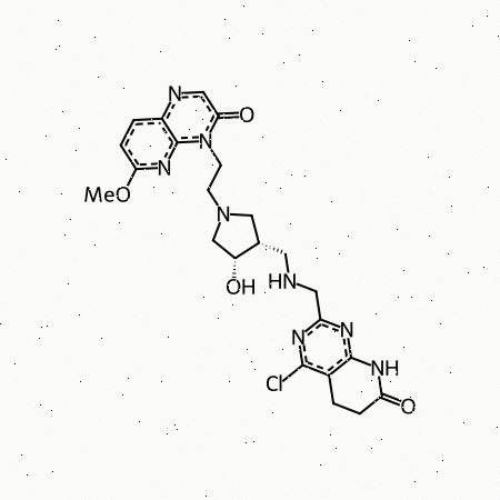 COc1ccc2ncc(=O)n(CCN3C[C@H](CNCc4nc(Cl)c5c(n4)NC(=O)CC5)[C@H](O)C3)c2n1